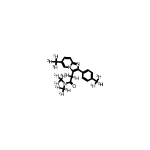 [2H]C([2H])([2H])c1ccc(-c2nc3ccc(C([2H])([2H])[2H])cn3c2C([2H])([2H])C(=O)N(C([2H])([2H])[2H])C([2H])([2H])[2H])cc1